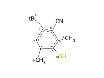 Cc1cc(C(C)(C)C)c(C#N)c(C)c1S